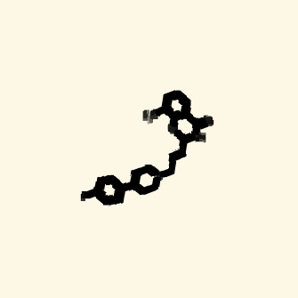 O=C1NC(CCCN2CC=C(c3ccc(F)cc3)CC2)Oc2c1cccc2C(F)(F)F